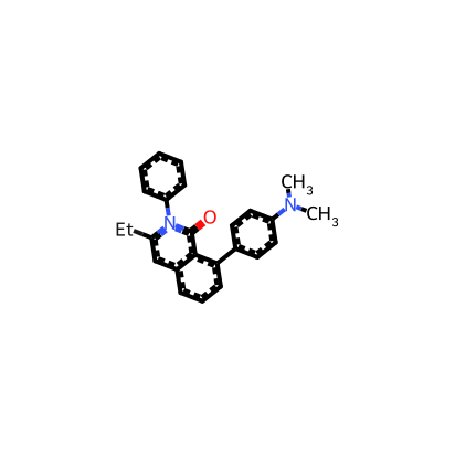 CCc1cc2cccc(-c3ccc(N(C)C)cc3)c2c(=O)n1-c1ccccc1